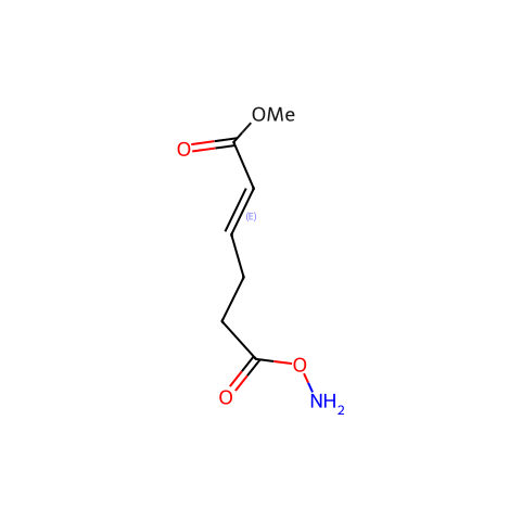 COC(=O)/C=C/CCC(=O)ON